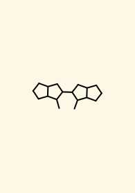 CC1C2CCCC2CC1C1CC2CCCC2C1C